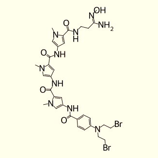 Cn1cc(NC(=O)c2cc(NC(=O)c3cc(NC(=O)c4ccc(N(CCBr)CCBr)cc4)cn3C)cn2C)cc1C(=O)NCCC(N)=NO